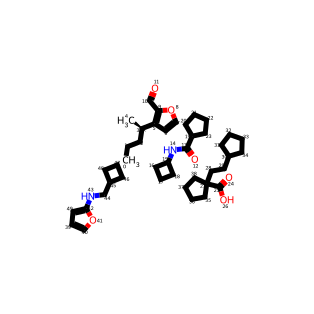 CCC[C@@H](C)c1ccoc1C=O.O=C(NC1CCC1)C1CCCC1.O=C(O)C1(CCC2CCCC2)CCCC1.c1coc(NCC2CCC2)c1